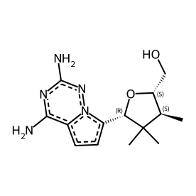 C[C@@H]1[C@@H](CO)O[C@@H](c2ccc3c(N)nc(N)nn23)C1(C)C